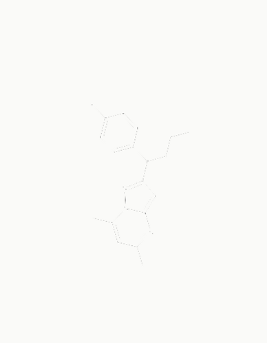 CCCC(c1ccc(Cl)cc1)c1cc2nc(C)cc(Cl)n2n1